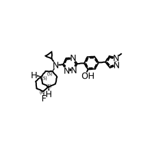 Cn1cc(-c2ccc(-c3ncc(N(C4CC4)[C@H]4CC[C@H]5C[C@H](CC[C@H]5F)C4)nn3)c(O)c2)cn1